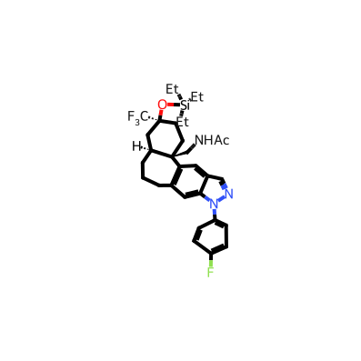 CC[Si](CC)(CC)O[C@@]1(C(F)(F)F)CC[C@]2(CNC(C)=O)c3cc4cnn(-c5ccc(F)cc5)c4cc3CCC[C@H]2C1